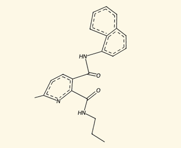 CCCNC(=O)c1nc(C)ccc1C(=O)Nc1cccc2ccccc12